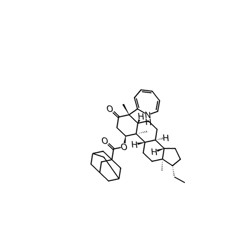 CC[C@H]1CC[C@H]2[C@@H]3CC[C@H]4[C@@](C)(C5=CC=CC=CN5)C(=O)C[C@H](OC(=O)C56CC7CC(CC(C7)C5)C6)[C@]4(C)[C@H]3CC[C@]12C